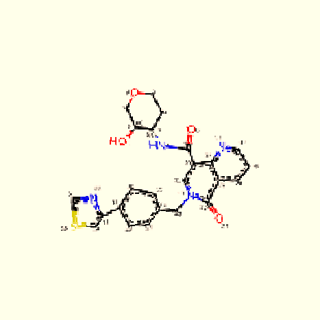 O=C(N[C@H]1CCOC[C@@H]1O)c1cn(Cc2ccc(-c3cscn3)cc2)c(=O)c2cccnc12